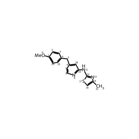 COc1ccc(Cc2ccnc(Nc3nc(C)cs3)c2)cc1